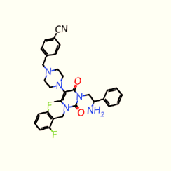 Cc1c(N2CCN(Cc3ccc(C#N)cc3)CC2)c(=O)n(C[C@H](N)c2ccccc2)c(=O)n1Cc1c(F)cccc1F